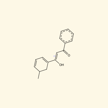 CC1C=CC=C(/C(O)=C/C(=O)c2ccccc2)C1